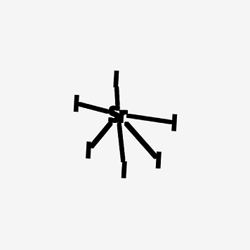 [I][Sr]([I])([I])([I])([I])[I]